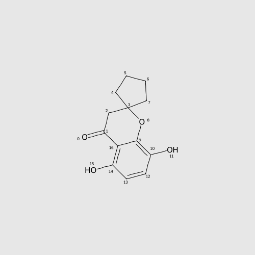 O=C1CC2(CCCC2)Oc2c(O)ccc(O)c21